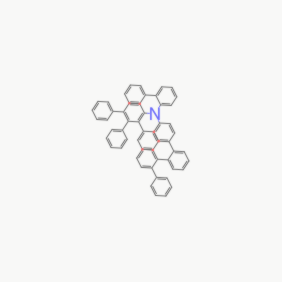 c1ccc(-c2ccccc2-c2ccccc2-c2ccc(N(c3ccccc3-c3ccccc3)c3ccc(-c4ccccc4)c(-c4ccccc4)c3-c3ccccc3)cc2)cc1